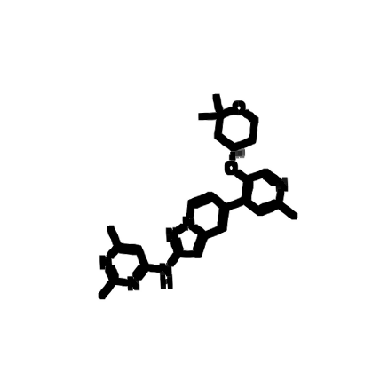 Cc1cc(-c2ccn3nc(Nc4cc(C)nc(C)n4)cc3c2)c(O[C@H]2CCOC(C)(C)C2)cn1